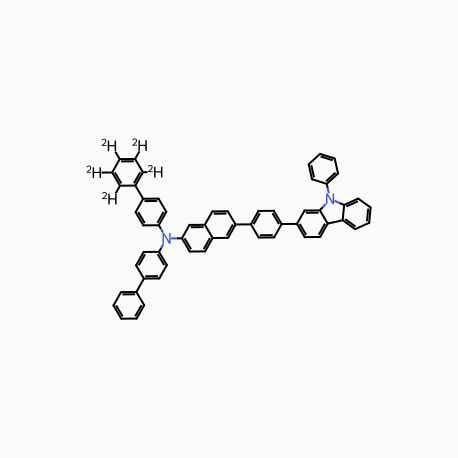 [2H]c1c([2H])c([2H])c(-c2ccc(N(c3ccc(-c4ccccc4)cc3)c3ccc4cc(-c5ccc(-c6ccc7c8ccccc8n(-c8ccccc8)c7c6)cc5)ccc4c3)cc2)c([2H])c1[2H]